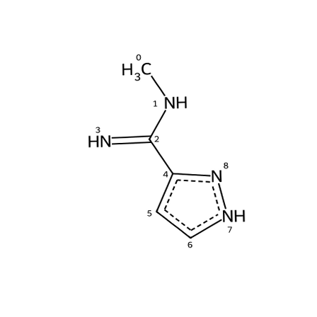 CNC(=N)c1cc[nH]n1